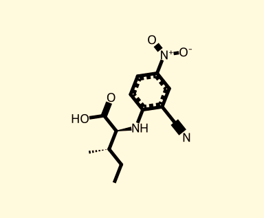 CC[C@H](C)[C@H](Nc1ccc([N+](=O)[O-])cc1C#N)C(=O)O